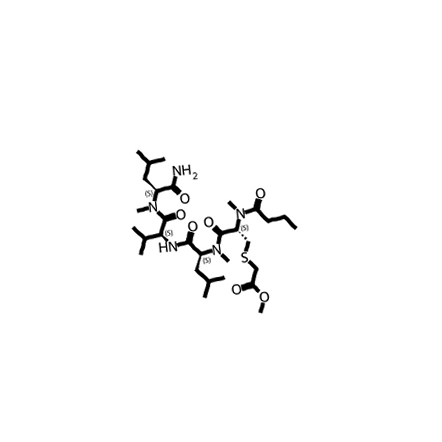 CCCC(=O)N(C)[C@H](CSCC(=O)OC)C(=O)N(C)[C@@H](CC(C)C)C(=O)N[C@H](C(=O)N(C)[C@@H](CC(C)C)C(N)=O)C(C)C